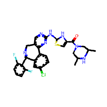 CC1CN(C(=O)C2=CSC(Nc3ncc4c(n3)-c3ccc(Cl)cc3C(c3c(F)cccc3F)=NC4)N2)CC(C)N1